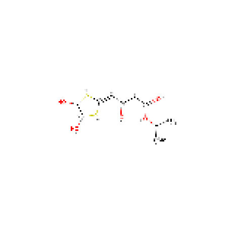 COC(C)OC(=O)CC(=O)C=C1SC(O)C(O)S1